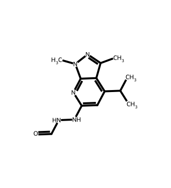 Cc1nn(C)c2nc(NNC=O)cc(C(C)C)c12